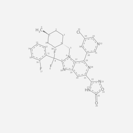 C[C@H]1CC[C@H](Cn2c(C(F)(F)c3ccccc3F)nc3cc(-c4noc(=O)[nH]4)nc(-c4cncc(Cl)c4)c32)CC1